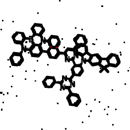 CC1(C)c2ccccc2-c2cc3c4ccccc4n(-c4ccc(-c5nc(-c6ccccc6)nc(-c6ccccc6)n5)cc4-c4nc(-c5ccccc5)cc(-c5ccc(-c6ccc7c8c6N(c6ccccc6)c6ccccc6B8c6ccccc6N7c6ccccc6)cc5)n4)c3cc21